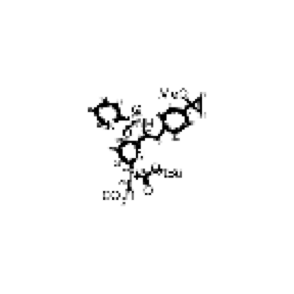 COC1(c2ccc(CC(NS(=O)(=O)c3ccccn3)c3cccc(N(CC(=O)O)C(=O)OC(C)(C)C)n3)cc2)CC1